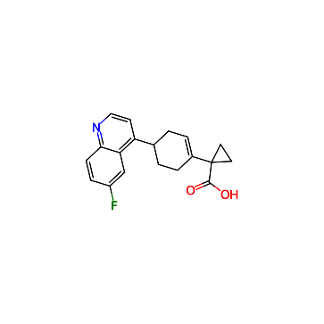 O=C(O)C1(C2=CCC(c3ccnc4ccc(F)cc34)CC2)CC1